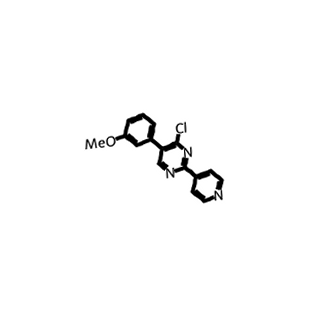 COc1cccc(-c2cnc(-c3ccncc3)nc2Cl)c1